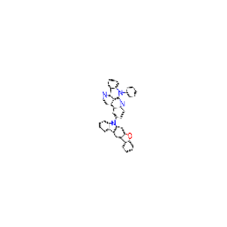 c1ccc(N2c3ccccc3-c3nccc4c3c2nc2ccc(-n3c5ccccc5c5cc6c(cc53)oc3ccccc36)cc24)cc1